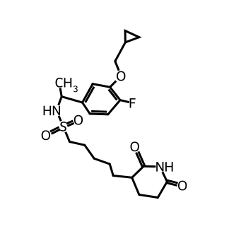 CC(NS(=O)(=O)CCCCCC1CCC(=O)NC1=O)c1ccc(F)c(OCC2CC2)c1